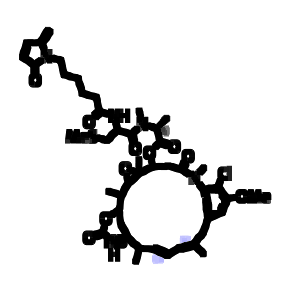 C=C1C=CC(=O)N1CCCCCC(=O)NC(CSC)C(=O)N(C)[C@@H](C)C(=O)OC1CC(=O)N(C)c2cc(cc(OC)c2Cl)C/C(C)=C/C=C/C(C)C2(O)CC(OC(=O)N2)C(C)C2OC12C